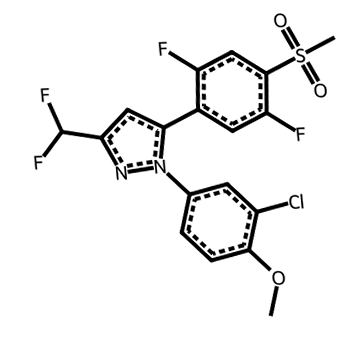 COc1ccc(-n2nc(C(F)F)cc2-c2cc(F)c(S(C)(=O)=O)cc2F)cc1Cl